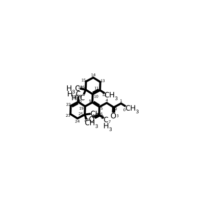 CCC(=O)CC(C(C)=O)=C(C1=C(C)CCCC1(C)C)C1C(C)=CCCC1(C)C